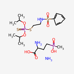 CC(C)OP(=S)(OC(C)C)SCCNS(=O)(=O)c1ccccc1.CP(=O)(O)CCC(N)C(=O)O.N